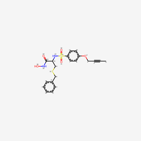 CC#CCOc1ccc(S(=O)(=O)NC(CSCc2ccccc2)C(=O)NO)cc1